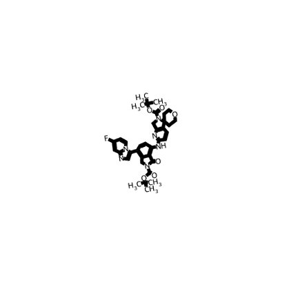 CC(C)(C)OC(=O)N1Cc2c(-c3cnc4cc(F)ccn34)ccc(Nc3ccc4c(n3)CN(C(=O)OC(C)(C)C)C43CCOCC3)c2C1=O